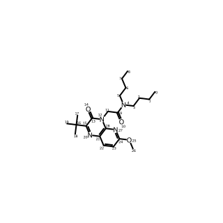 CCCCN(CCCC)C(=O)Cn1c(=O)c(C(C)(C)C)nc2ccc(OC)nc21